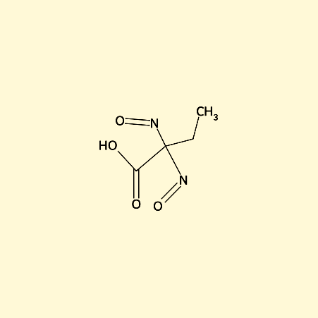 CCC(N=O)(N=O)C(=O)O